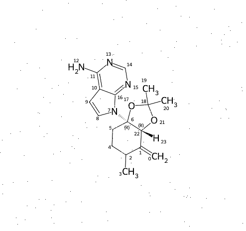 C=C1C(C)CC[C@@]2(n3ccc4c(N)ncnc43)OC(C)(C)O[C@H]12